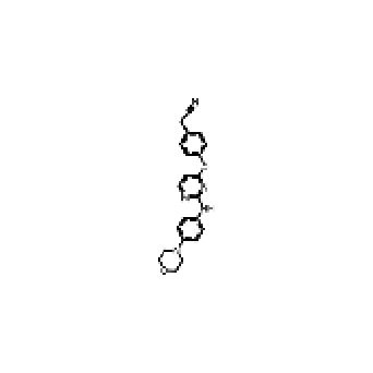 N#CCc1ccc(Sc2ccnc(Nc3ccc(N4CCOCC4)cc3)n2)cc1